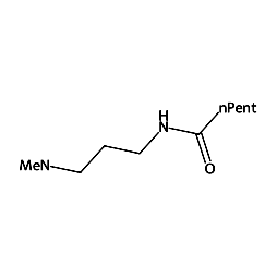 CCCCCC(=O)NCCCNC